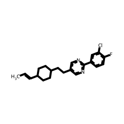 CC=CC1CCC(CCc2cnc(-c3ccc(F)c(Cl)c3)nc2)CC1